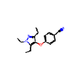 CCc1nn(CC)c(CC)c1Oc1ccc(C#N)cc1